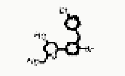 CCc1ccc(Cc2cc(C3CC(O)CC(CO)O3)ccc2Br)cc1